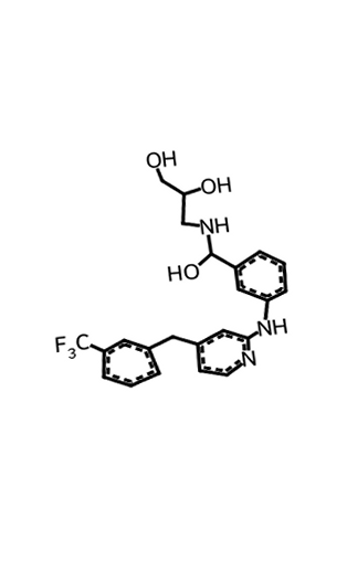 OCC(O)CNC(O)c1cccc(Nc2cc(Cc3cccc(C(F)(F)F)c3)ccn2)c1